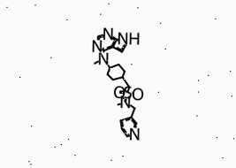 CN(c1ncnc2[nH]ccc12)C1CCC(CS(=O)(=O)N(C)Cc2cccnc2)CC1